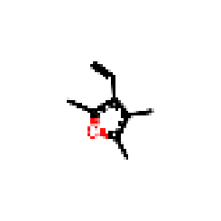 C=Cc1c(C)oc(C)c1C